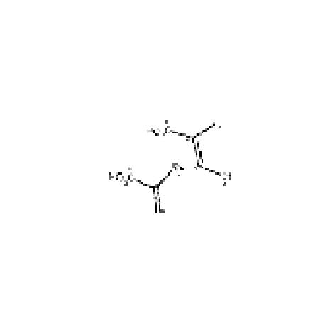 C=C(CC)C(=O)O.CCC=C(C)C(=O)O